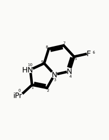 CC(C)C1=CN2N=C(F)C=CC2N1